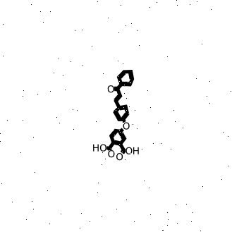 O=C(C=Cc1ccc(Oc2ccc(C(=O)O)c(C(=O)O)c2)cc1)c1ccccc1